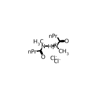 CCCC(=O)[N](C)[Hf+2][N](C)C(=O)CCC.[Cl-].[Cl-]